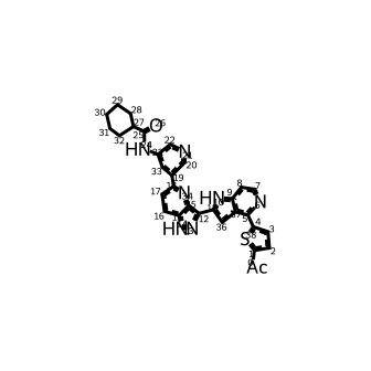 CC(=O)c1ccc(-c2nccc3[nH]c(-c4n[nH]c5ccc(-c6cncc(NC(=O)C7CCCCC7)c6)nc45)cc23)s1